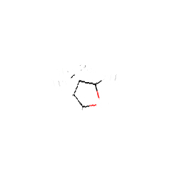 CC1CCCO1.[CH3][Mg+].[Cl-]